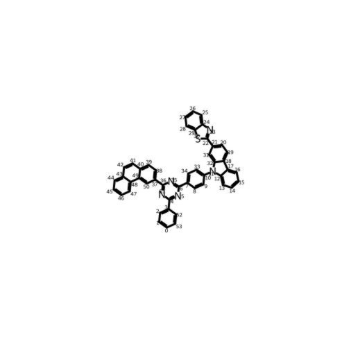 c1ccc(-c2nc(-c3ccc(-n4c5ccccc5c5ccc(-c6nc7ccccc7s6)cc54)cc3)nc(-c3ccc4ccc5ccccc5c4c3)n2)cc1